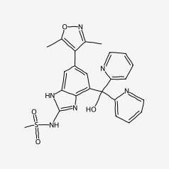 Cc1noc(C)c1-c1cc(C(O)(c2ccccn2)c2ccccn2)c2nc(NS(C)(=O)=O)[nH]c2c1